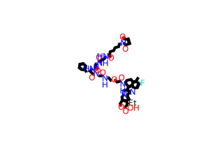 CC[C@@]1(O)C(=O)OCC2=C1C=C1c3nc4cc(F)c(C)c5c4c(c3CN1C2)[C@@H](NC(=O)COCCNC(=O)CNC(=O)[C@H](Cc1ccccc1)NC(=O)CNC(=O)CNC(=O)CCCCCN1C(=O)C=CC1=O)CC5